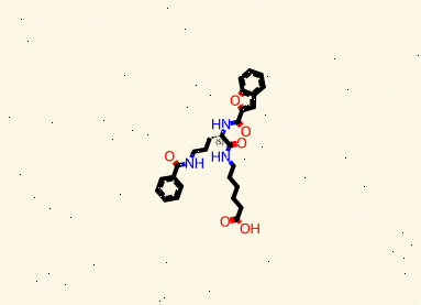 O=C(O)CCCCCNC(=O)[C@H](CCCNC(=O)c1ccccc1)NC(=O)c1cc2ccccc2o1